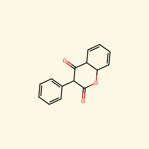 O=C1OC2C=CC=CC2C(=O)C1c1ccccc1